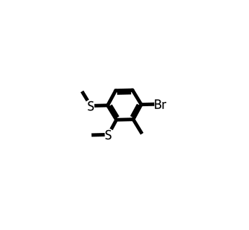 CSc1ccc(Br)c(C)c1SC